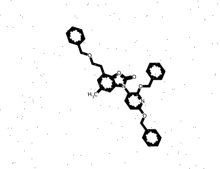 Cc1cc(CCOCc2ccccc2)c2oc(=O)n(-c3ccc(OCc4ccccc4)nc3OCc3ccccc3)c2c1